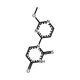 COc1nccc(-n2ccc(=O)[nH]c2=S)n1